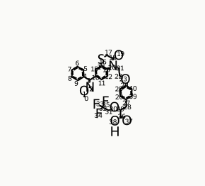 CO/N=C(\c1ccccc1)c1ccc2c(c1)SCC(=O)N2CCOc1ccc(CC(OCC(F)(F)F)C(=O)O)cc1